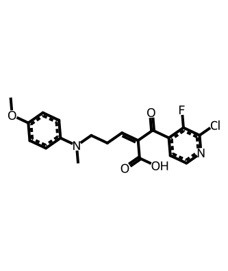 COc1ccc(N(C)CCC=C(C(=O)O)C(=O)c2ccnc(Cl)c2F)cc1